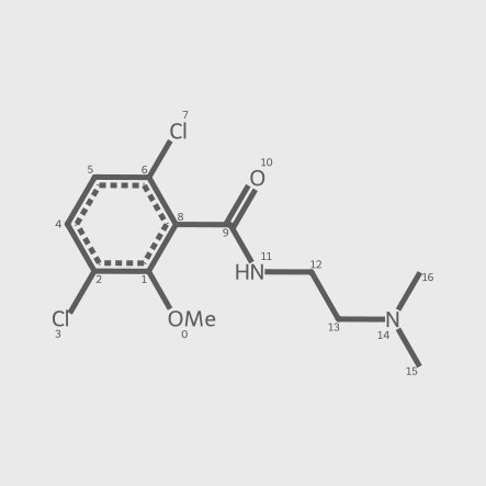 COc1c(Cl)ccc(Cl)c1C(=O)NCCN(C)C